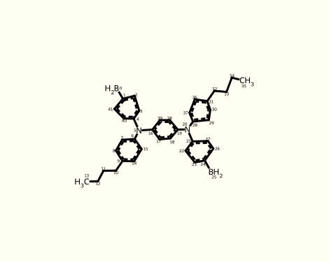 Bc1ccc(N(c2ccc(CCCC)cc2)c2ccc(N(c3ccc(B)cc3)c3ccc(CCCC)cc3)cc2)cc1